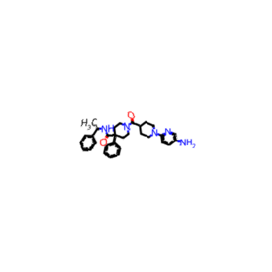 C[C@H](NC(=O)C1(c2ccccc2)CCN(C(=O)C2CCN(c3ccc(N)cn3)CC2)CC1)c1ccccc1